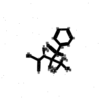 CC(C)(C)C(N)([C@@H](N)C(=O)O)S(=O)(=O)c1ccccc1